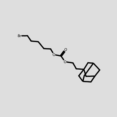 O=C(OCCCCCBr)OCCC12CC3CC(CC(C3)C1)C2